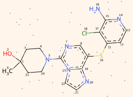 CC1(O)CCN(c2ncc(Sc3ccnc(N)c3Cl)c3nccn23)CC1